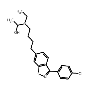 CCN(CCCCc1ccc2c(-c3ccc(Cl)cc3)nsc2c1)C(C)O